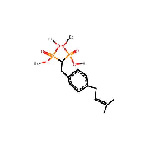 CCOP(=O)(OCC)C(Cc1ccc(CC=C(C)C)cc1)P(=O)(OCC)OCC